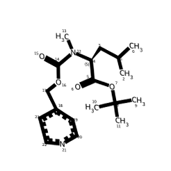 CC(C)C[C@@H](C(=O)OC(C)(C)C)N(C)C(=O)OCc1ccncc1